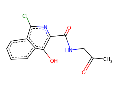 CC(=O)CNC(=O)c1nc(Cl)c2ccccc2c1O